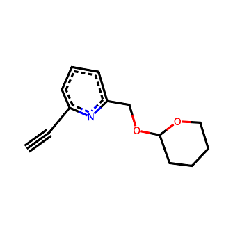 C#Cc1cccc(COC2CCCCO2)n1